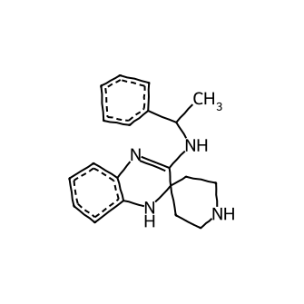 CC(NC1=Nc2ccccc2NC12CCNCC2)c1ccccc1